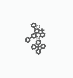 CC1(C)c2cccc(N(c3ccc(C4(c5ccccc5)c5ccccc5-c5ccccc54)cc3)c3cccc(-c4ccccc4)c3)c2-c2ccc3c(oc4ccccc43)c21